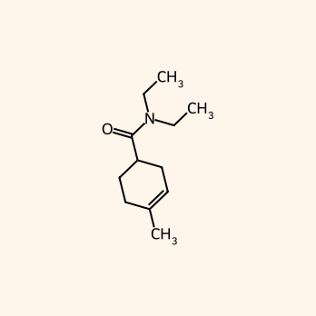 CCN(CC)C(=O)C1CC=C(C)CC1